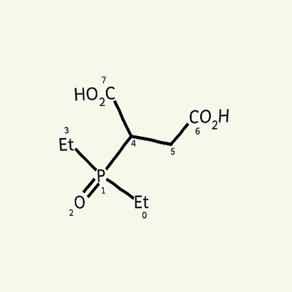 CCP(=O)(CC)C(CC(=O)O)C(=O)O